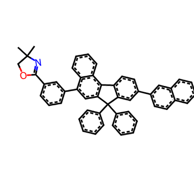 CC1(C)COC(c2cccc(-c3cc4c(c5ccccc35)-c3ccc(-c5ccc6ccccc6c5)cc3C4(c3ccccc3)c3ccccc3)c2)=N1